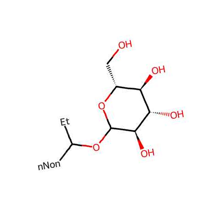 CCCCCCCCCC(CC)OC1O[C@H](CO)[C@@H](O)[C@H](O)[C@H]1O